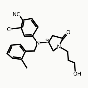 Cc1ccccc1CN(c1ccc(C#N)c(Cl)c1)[C@H]1CC(=O)N(CCCO)C1